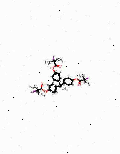 CC(C)(I)C(=O)Oc1ccc(C(C)(c2ccc(OC(=O)C(C)(C)I)cc2)c2ccc(OC(=O)C(C)(C)I)cc2)cc1